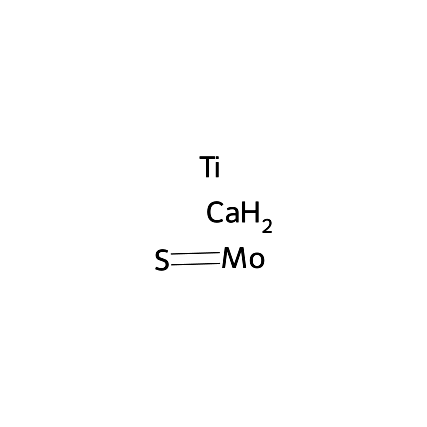 [CaH2].[S]=[Mo].[Ti]